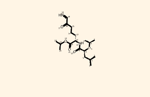 CC(C)C[C@H](OC(C)C)C(=O)N[C@@H](CCCC(=O)C=N)C(=O)OC(C)C